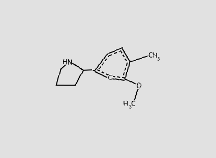 COc1cc(C2CCCN2)ccc1C